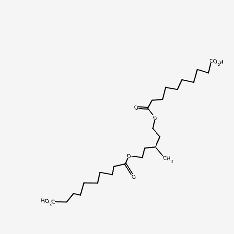 CC(CCOC(=O)CCCCCCCCC(=O)O)CCOC(=O)CCCCCCCCC(=O)O